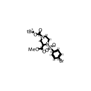 COC(=O)C1CN(C(=O)OC(C)(C)C)CCN1S(=O)(=O)c1ccc(Br)cc1